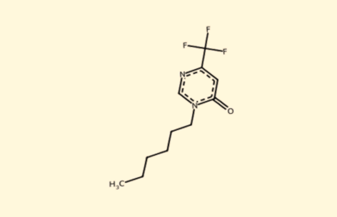 CCCCCCn1cnc(C(F)(F)F)cc1=O